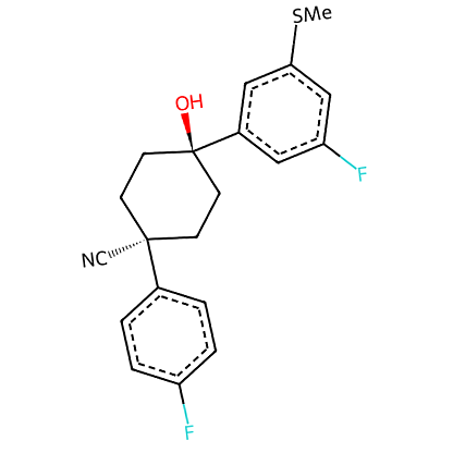 CSc1cc(F)cc([C@]2(O)CC[C@@](C#N)(c3ccc(F)cc3)CC2)c1